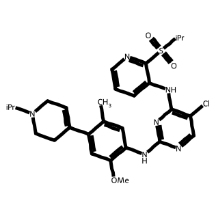 COc1cc(C2=CCN(C(C)C)CC2)c(C)cc1Nc1ncc(Cl)c(Nc2cccnc2S(=O)(=O)C(C)C)n1